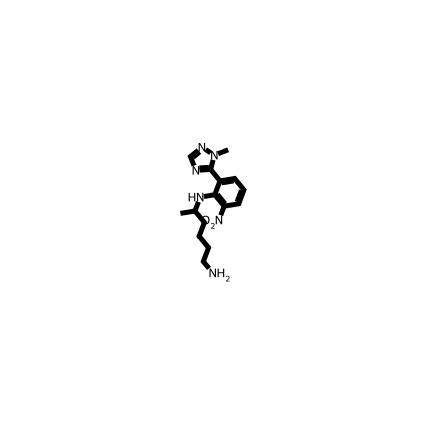 CC(CCCCN)Nc1c(-c2ncnn2C)cccc1[N+](=O)[O-]